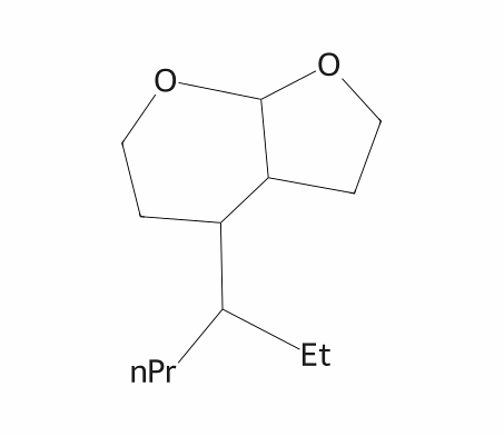 CCCC(CC)C1CCOC2OCCC21